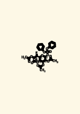 CC(=O)OCC(F)[C@H]1O[C@@H](OP(=O)(Oc2ccccc2)Oc2ccccc2)[C@@H](OC(C)=O)[C@@H](OC(C)=O)[C@@H]1OC(C)=O